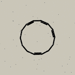 [CH]1C=CC=CC=CCCC=CCCC1